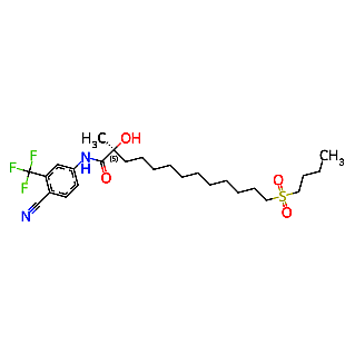 CCCCS(=O)(=O)CCCCCCCCCCC[C@](C)(O)C(=O)Nc1ccc(C#N)c(C(F)(F)F)c1